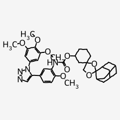 COc1ccc(-c2cnnn2-c2cc(OC)c(OC)c(OC)c2)cc1NC(=O)OC1CCCC2(COC3(O2)C2CC4CC(C2)CC3C4)C1